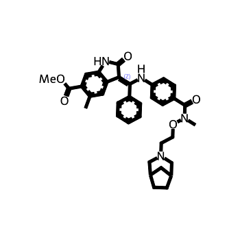 COC(=O)c1cc2c(cc1C)/C(=C(/Nc1ccc(C(=O)N(C)OCCN3CC4CCC(C4)C3)cc1)c1ccccc1)C(=O)N2